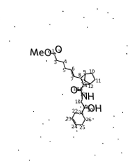 COC(=O)CCCC=CC1C2CCC(C2)C1C(=O)NCC(O)C1CC=CCC1